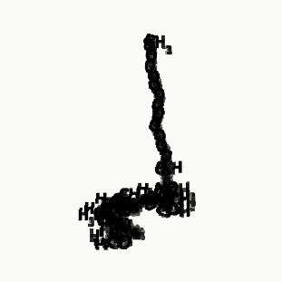 CC[C@H](C)[C@H](NC(=O)[C@H]1CCCC[N+]1(C)Cc1ccc(NC(=O)[C@H](CCC(=O)O)NC(=O)[C@@H](NC(=O)[C@@H](N)CCCCNC(=O)CCOCCOCCOCCOCCOCCOCCOCCOCCOCCOCCOCCOC)C(C)C)cc1)C(=O)N(C)[C@H](C[C@@H](OC(C)=O)c1nc(C(=O)N[C@@H](Cc2ccccc2)C[C@H](C)C(=O)O)cs1)C(C)C